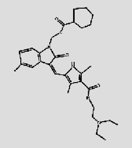 CCN(CC)CCNC(=O)c1c(C)[nH]c(/C=C2\C(=O)N(COC(=O)C3CCCCC3)c3ccc(F)cc32)c1C